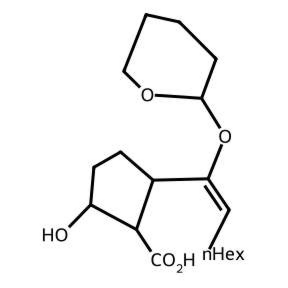 CCCCCCC=C(OC1CCCCO1)C1CCC(O)C1C(=O)O